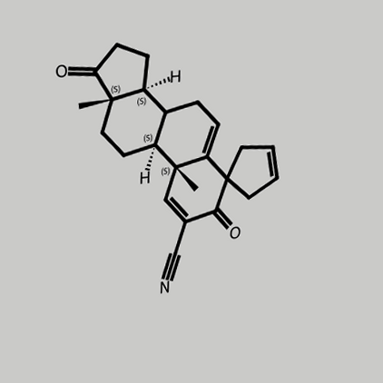 C[C@]12C=C(C#N)C(=O)C3(CC=CC3)C1=CCC1[C@@H]2CC[C@]2(C)C(=O)CC[C@@H]12